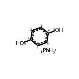 Oc1ccc(O)cc1.[PbH2]